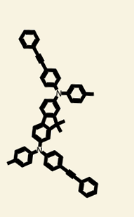 Cc1ccc(N(c2ccc(C#Cc3ccccc3)cc2)c2ccc3c(c2)C(C)(C)c2cc(N(c4ccc(C)cc4)c4ccc(C#Cc5ccccc5)cc4)ccc2-3)cc1